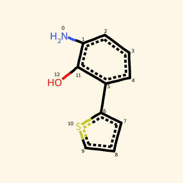 Nc1cccc(-c2cccs2)c1O